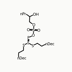 CCCCCCCCCCCCSS(=POS(=O)(=O)OCC(O)CCC)SCCCCCCCCCCCC